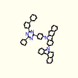 c1ccc(-c2cccc(-c3nc(-c4ccccc4)nc(-c4ccc(-n5c6cc(-n7c8ccccc8c8c9ccccc9ccc87)ccc6c6cc7ccccc7cc65)cc4)n3)c2)cc1